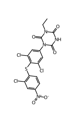 CCn1c(=O)[nH]c(=O)n(-c2cc(Cl)c(Sc3ccc([N+](=O)[O-])cc3Cl)c(Cl)c2)c1=O